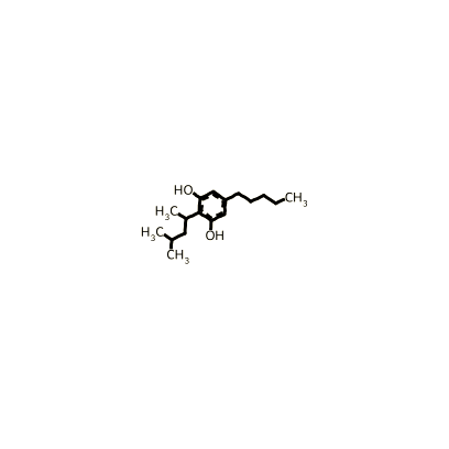 CCCCCc1cc(O)c(C(C)CC(C)C)c(O)c1